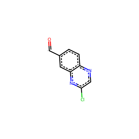 O=[C]c1ccc2ncc(Cl)nc2c1